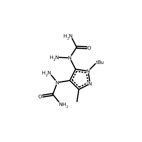 Cc1nn(C(C)(C)C)c(N(N)C(N)=O)c1N(N)C(N)=O